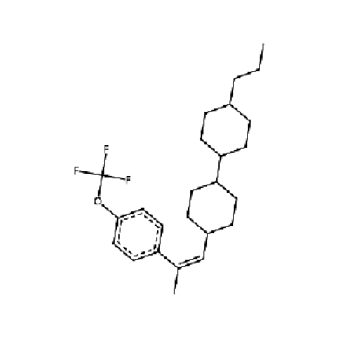 CCCC1CCC(C2CCC(C=C(C)c3ccc(OC(F)(F)F)cc3)CC2)CC1